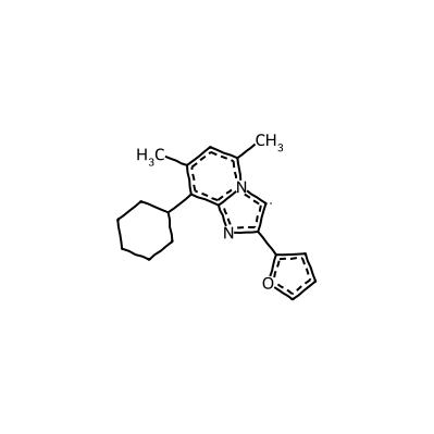 Cc1cc(C)n2[c]c(-c3ccco3)nc2c1C1CCCCC1